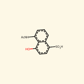 CC(=O)Nc1cccc2c(S(=O)(=O)O)ccc(O)c12